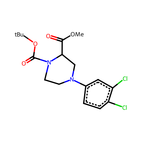 COC(=O)C1CN(c2ccc(Cl)c(Cl)c2)CCN1C(=O)OC(C)(C)C